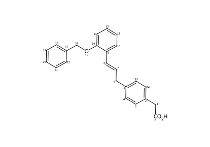 O=C(O)Cc1ccc(C/C=C/c2ccccc2OCc2ccccc2)cc1